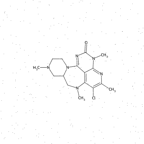 Cc1nc2c3c(nc(=O)n2C)N2CCN(C)CC2CN(C)c3c1Cl